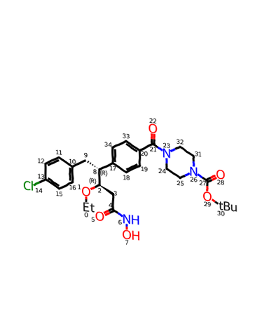 CCO[C@H](CC(=O)NO)[C@H](Cc1ccc(Cl)cc1)c1ccc(C(=O)N2CCN(C(=O)OC(C)(C)C)CC2)cc1